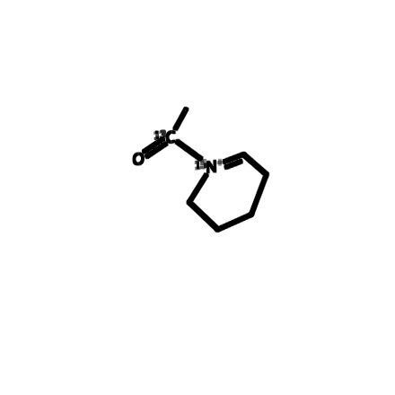 C[13C](=O)[15N+]1=CCCCC1